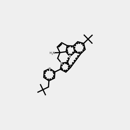 CC(C)(C)Cc1ccnc(-c2cc3c4cc(C(C)(C)C)cc5c6c7n(c54)c3n2CC7(N)C=C6)c1